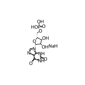 O=c1[nH]c(=O)c2ncn([C@@H]3O[C@H](COP(=O)(O)O)[C@@H](O)[C@H]3O)c2[nH]1.[NaH]